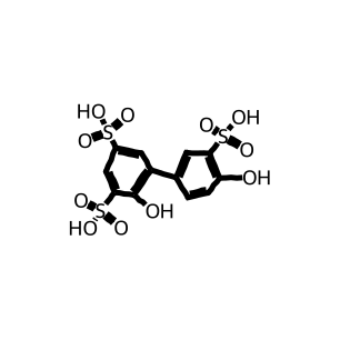 O=S(=O)(O)c1cc(-c2ccc(O)c(S(=O)(=O)O)c2)c(O)c(S(=O)(=O)O)c1